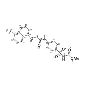 COC(=O)NS(=O)(=O)c1ccc(NC(=O)COc2ccnc3c(C(F)(F)F)cccc23)cc1